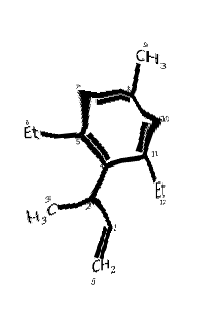 C=CC(C)c1c(CC)cc(C)cc1CC